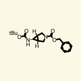 CC(C)(C)OC(=O)N[C@@H]1[C@@H]2CN(C(=O)OCc3ccccc3)C[C@@H]21